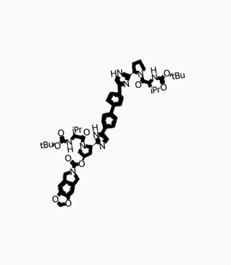 CC(C)C(NC(=O)OC(C)(C)C)C(=O)N1CCC[C@H]1c1nc(-c2ccc(-c3ccc(-c4cnc([C@@H]5C[C@@H](OC(=O)N6Cc7cc8c(cc7C6)OCO8)CN5C(=O)[C@@H](NC(=O)OC(C)(C)C)C(C)C)[nH]4)cc3)cc2)c[nH]1